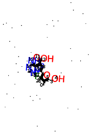 C[C@@H]1[C@@H](CO)O[C@@H](c2cc(C(=O)O)c3c(N)ncnn23)[C@]1(C)F